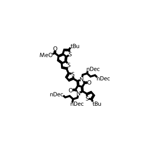 CCCCCCCCCCCCC(CCCCCCCCCC)CN1C(=O)C2=C(c3ccc(C(C)(C)C)s3)N(CC(CCCCCCCCCC)CCCCCCCCCCCC)C(=O)C2=C1c1ccc(-c2cc3cc(C(=O)OC)c4cc(C(C)(C)C)sc4c3s2)s1